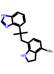 CC(C)(C)c1ccc(CC(C)(C)c2cccc3[nH]cnc23)c2c1CCN2